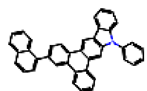 c1ccc(-n2c3ccccc3c3cc4c5ccc(-c6cccc7ccccc67)cc5c5ccccc5c4cc32)cc1